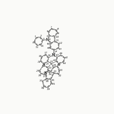 c1ccc(-n2c3ccccc3c3ccc(N4c5ccccc5C(c5ccccc5)(c5cccc6c5sc5ccccc56)c5ccccc54)cc32)cc1